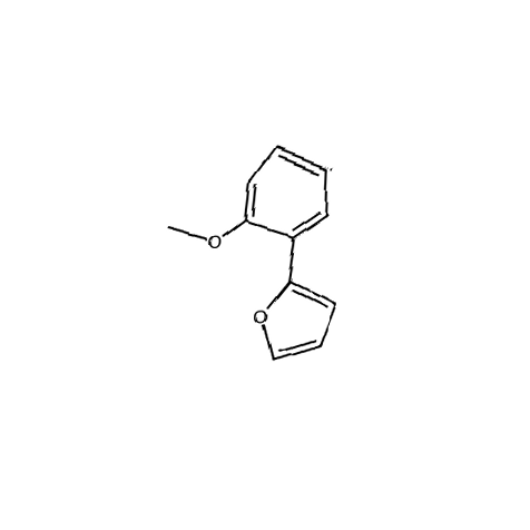 COc1cc[c]cc1-c1ccco1